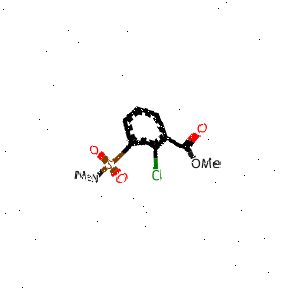 CNS(=O)(=O)c1cccc(C(=O)OC)c1Cl